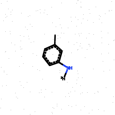 [2H]Nc1cccc(C)c1